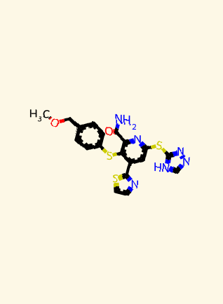 COCc1ccc(Sc2c(-c3nccs3)cc(Sc3nnc[nH]3)nc2C(N)=O)cc1